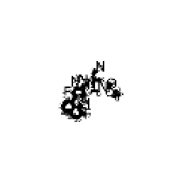 CC(C)(C)OC(=O)N1CCN(c2ncnc3c(F)c(-c4cccc5ccc(F)c(Cl)c45)ncc23)C(CC#N)C1